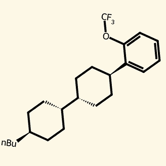 CCCC[C@H]1CC[C@H]([C@H]2CC[C@H](c3ccccc3OC(F)(F)F)CC2)CC1